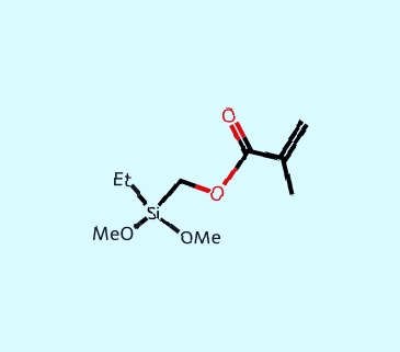 C=C(C)C(=O)OC[Si](CC)(OC)OC